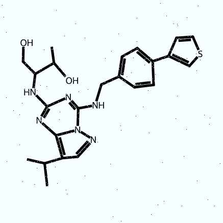 CC(C)c1cnn2c(NCc3ccc(-c4ccsc4)cc3)nc(NC(CO)C(C)O)nc12